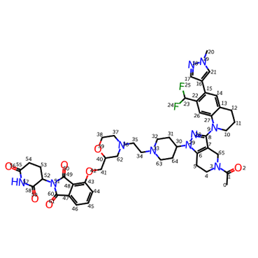 CC(=O)N1CCc2c(c(N3CCCc4cc(-c5cnn(C)c5)c(C(F)F)cc43)nn2C2CCN(CCN3CCOC(COc4cccc5c4C(=O)N(C4CCC(=O)NC4=O)C5=O)C3)CC2)C1